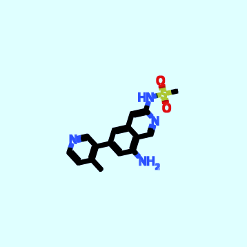 Cc1ccncc1-c1cc(N)c2cnc(NS(C)(=O)=O)cc2c1